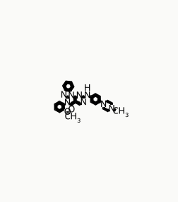 COc1ccccc1-n1c(=O)c2cnc(Nc3ccc(N4CCN(C)CC4)cc3)nc2n2c3ccccc3nc12